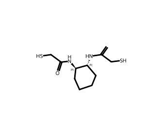 C=C(CS)N[C@@H]1CCCC[C@H]1NC(=O)CS